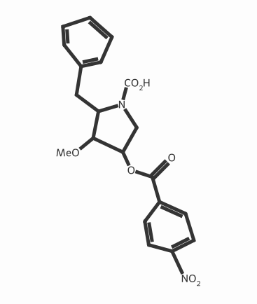 COC1C(OC(=O)c2ccc([N+](=O)[O-])cc2)CN(C(=O)O)C1Cc1ccccc1